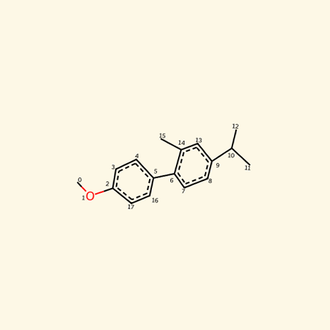 COc1ccc(-c2ccc(C(C)C)cc2C)cc1